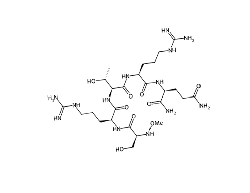 CON[C@@H](CO)C(=O)N[C@@H](CCCNC(=N)N)C(=O)N[C@H](C(=O)N[C@@H](CCCNC(=N)N)C(=O)N[C@@H](CCC(N)=O)C(N)=O)[C@@H](C)O